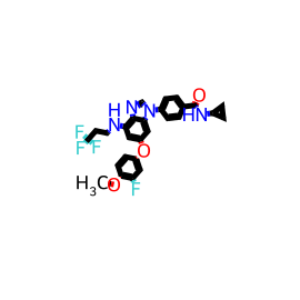 COc1ccc(Oc2cc(NCCC(F)(F)F)c3ncn(-c4ccc(C(=O)NC5CC5)cc4)c3c2)cc1F